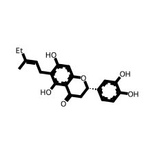 CC/C(C)=C/Cc1c(O)cc2c(c1O)C(=O)C[C@@H](c1ccc(O)c(O)c1)O2